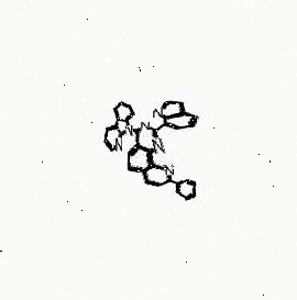 C1=Nc2c(cccc2-c2nc(-n3c4ccccc4c4cccnc43)c3ccc4ccc(-c5ccccc5)nc4c3n2)C1